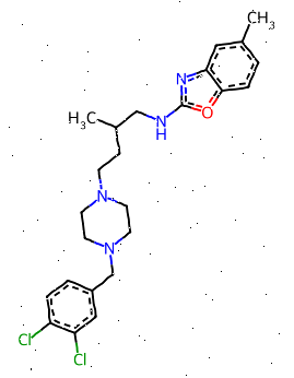 Cc1ccc2oc(NCC(C)CCN3CCN(Cc4ccc(Cl)c(Cl)c4)CC3)nc2c1